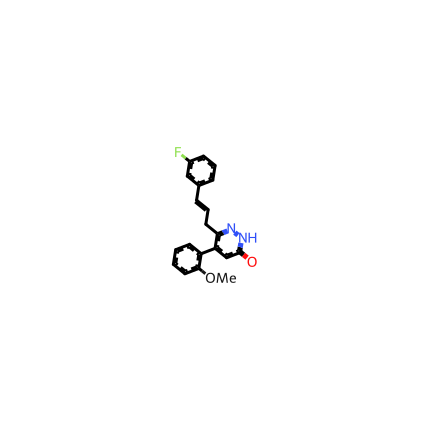 COc1ccccc1-c1cc(=O)[nH]nc1CC=Cc1cccc(F)c1